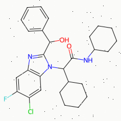 O=C(NC1CCCCC1)C(C1CCCCC1)n1c(C(O)c2ccccc2)nc2cc(F)c(Cl)cc21